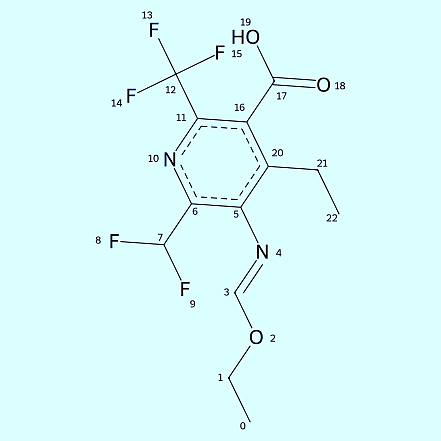 CCOC=Nc1c(C(F)F)nc(C(F)(F)F)c(C(=O)O)c1CC